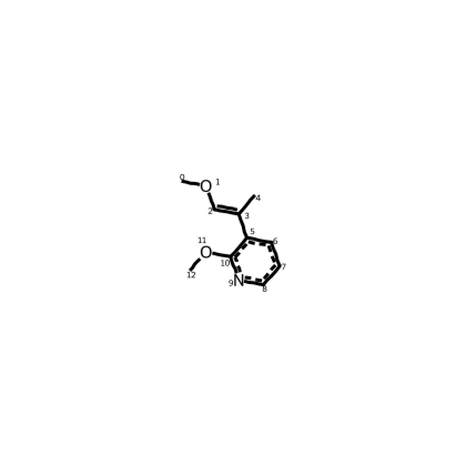 COC=C(C)c1cccnc1OC